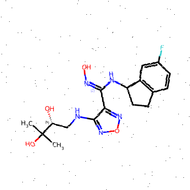 CC(C)(O)[C@H](O)CNc1nonc1/C(=N/O)NC1CCc2ccc(F)cc21